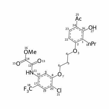 CCCc1c(OCCCOc2cc(NC(=O)C(=O)OC)c(C(F)(F)F)cc2Cl)ccc(C(C)=O)c1O